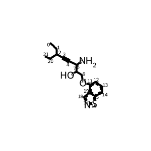 CCC(C#CC(N)C(O)COc1cccc2sncc12)CC